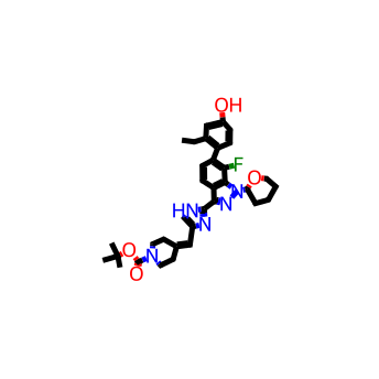 CCc1cc(O)ccc1-c1ccc2c(-c3nc(C=C4CCN(C(=O)OC(C)(C)C)CC4)c[nH]3)nn(C3CCCCO3)c2c1F